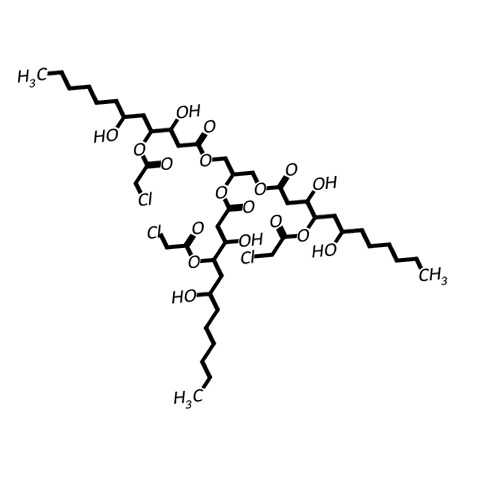 CCCCCCC(O)CC(OC(=O)CCl)C(O)CC(=O)OCC(COC(=O)CC(O)C(CC(O)CCCCCC)OC(=O)CCl)OC(=O)CC(O)C(CC(O)CCCCCC)OC(=O)CCl